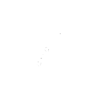 O=C(C=Cc1ccccc1)Oc1ccc(OCCCCCCO)cc1